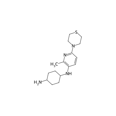 Cc1nc(N2CCSCC2)ccc1NC1CCC(N)CC1